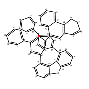 C1=Cc2cc(-c3nc(-c4ccccc4)nc(-c4cccc5oc6cccc(-c7ccc(-c8ccccc8)cc7)c6c45)n3)c3ccccc3c2CC1